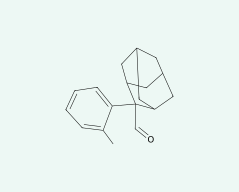 Cc1ccccc1C1(C=O)C2CC3CC(C2)CC1C3